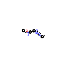 Cc1cccc(N2CCN(c3cnc4ccc(-c5ccc(NC(=O)Cc6ccccc6)cc5)cc4n3)CC2)c1